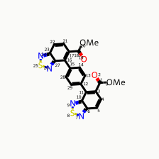 COC(=O)c1ccc2nsnc2c1-c1ccc(-c2c(C(=O)OC)ccc3nsnc23)cc1